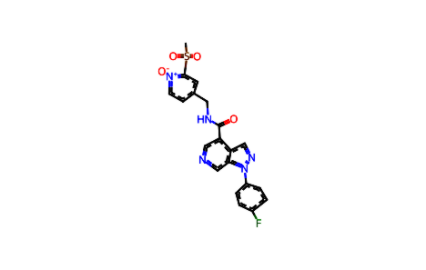 CS(=O)(=O)c1cc(CNC(=O)c2cncc3c2cnn3-c2ccc(F)cc2)cc[n+]1[O-]